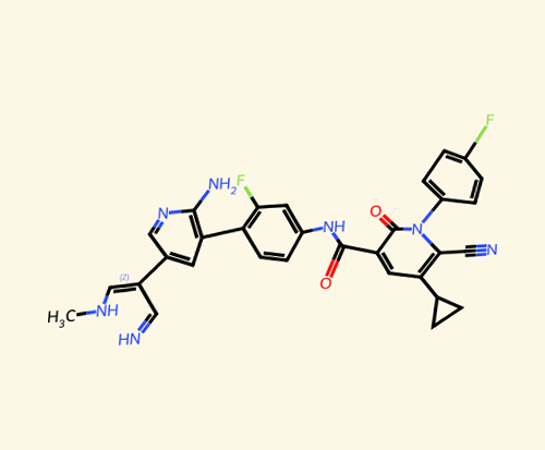 CN/C=C(\C=N)c1cnc(N)c(-c2ccc(NC(=O)c3cc(C4CC4)c(C#N)n(-c4ccc(F)cc4)c3=O)cc2F)c1